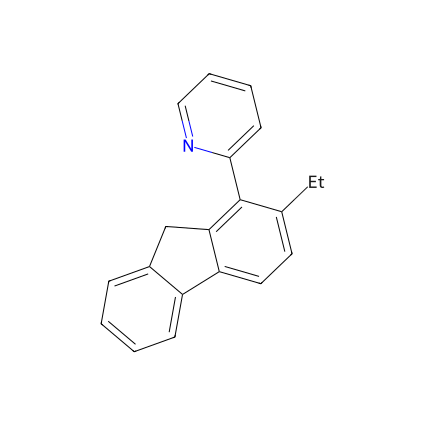 CCc1ccc2c(c1-c1ccccn1)Cc1ccccc1-2